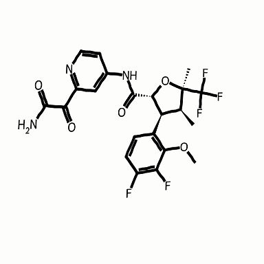 COc1c([C@H]2[C@H](C(=O)Nc3ccnc(C(=O)C(N)=O)c3)O[C@@](C)(C(F)(F)F)[C@H]2C)ccc(F)c1F